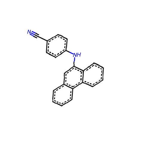 N#Cc1ccc(Nc2cc3ccccc3c3ccccc23)cc1